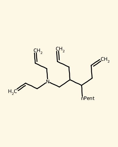 C=CCC(CCCCC)C(CC=C)CN(CC=C)CC=C